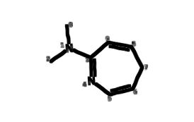 CN(C)C1=NC=CCC=C1